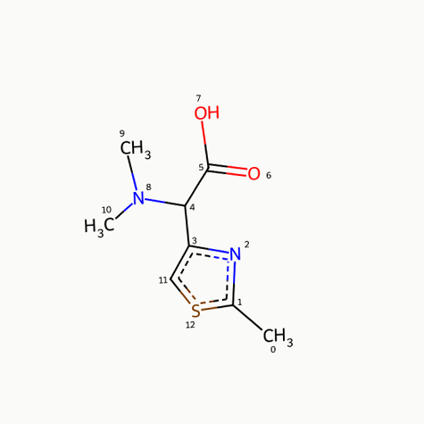 Cc1nc(C(C(=O)O)N(C)C)cs1